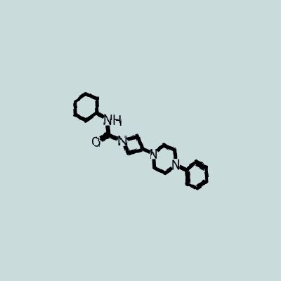 O=C(NC1CCCCC1)N1CC(N2CCN(c3ccccc3)CC2)C1